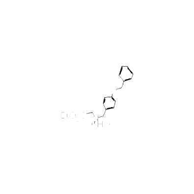 CCOC(=O)CN(C=O)Cc1ccc(OCc2ccccc2)cc1